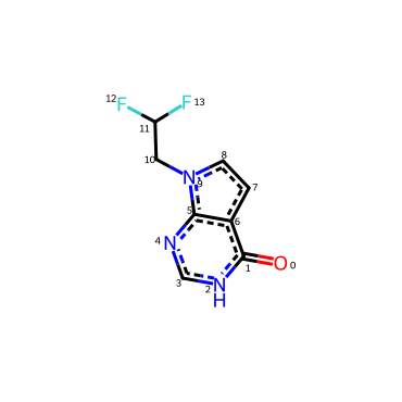 O=c1[nH]cnc2c1ccn2CC(F)F